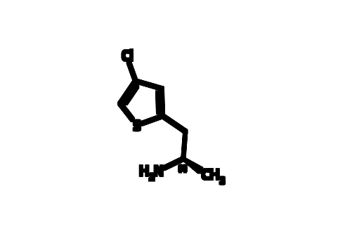 C[C@@H](N)Cc1cc(Cl)cs1